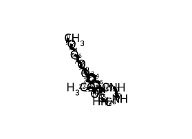 CCOCCOCCOCCOc1ccc(C[C@H](C(=O)OCC)N2CCNCCNCCNCC2)cc1